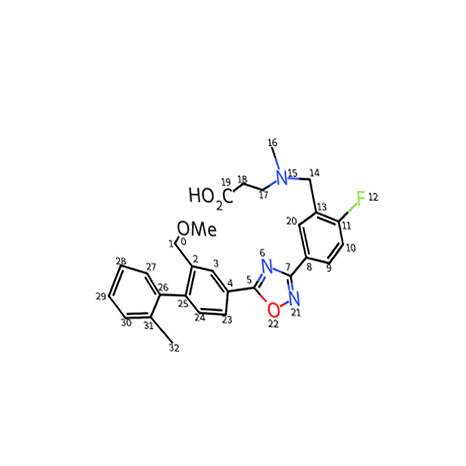 COCc1cc(-c2nc(-c3ccc(F)c(CN(C)CCC(=O)O)c3)no2)ccc1-c1ccccc1C